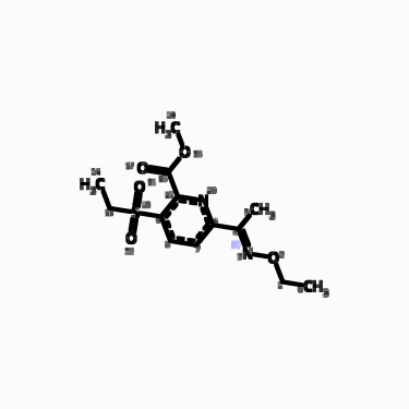 CCO/N=C(\C)c1ccc(S(=O)(=O)CC)c(C(=O)OC)n1